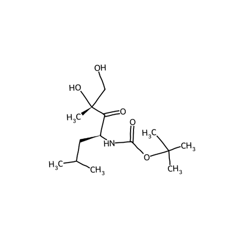 CC(C)C[C@H](NC(=O)OC(C)(C)C)C(=O)[C@](C)(O)CO